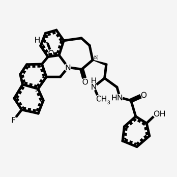 CNC(CNC(=O)c1ccccc1O)C[C@@H]1CCc2ccccc2N(Cc2c(OC)ccc3cc(F)ccc23)C1=O